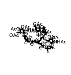 CC(=O)NC1C(OC(C)(C)CC(C)(C)CNC(=O)CCC(CCC(=O)NCC(C)(C)CC(C)(C)OC2OC(COC(C)=O)C(OC(C)=O)C(OC(C)=O)C2NC(C)=O)(CCC(=O)NCC(C)(C)CC(C)(C)OC2OC(COC(C)=O)C(OC(C)=O)C(OC(C)=O)C2NC(C)=O)[N+](=O)[O-])OC(COC(C)=O)C(OC(C)=O)C1OC(C)=O